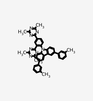 Cc1cccc(-c2ccc3c(c2)c2cc(-c4cccc(C)c4)ccc2n3-c2ccc(-c3nc(C)nc(C)n3)cc2-c2nc(C)nc(C)n2)c1